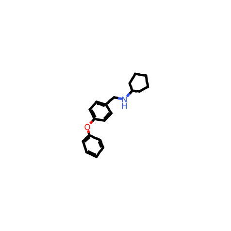 c1ccc(Oc2ccc(CNC3CCCCC3)cc2)cc1